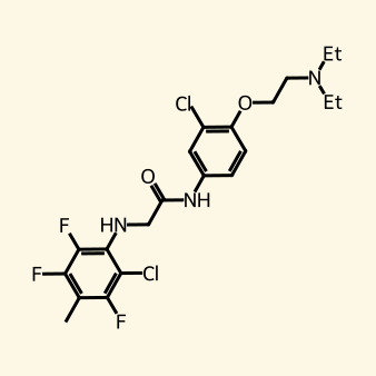 CCN(CC)CCOc1ccc(NC(=O)CNc2c(F)c(F)c(C)c(F)c2Cl)cc1Cl